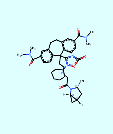 CN(C)C(=O)c1ccc2c(c1)CCc1cc(C(=O)N(C)C)ccc1C2(CCNCC(=O)N1[C@H](C#N)C[C@@H]2C[C@@H]21)c1nc(=O)on1C1CCCCC1